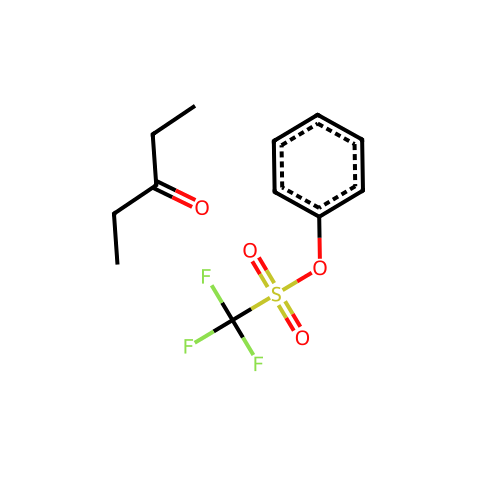 CCC(=O)CC.O=S(=O)(Oc1ccccc1)C(F)(F)F